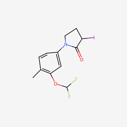 Cc1ccc(N2CCC(I)C2=O)cc1OC(F)F